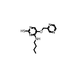 CCCCNc1nc(S)ncc1OCc1cnccn1